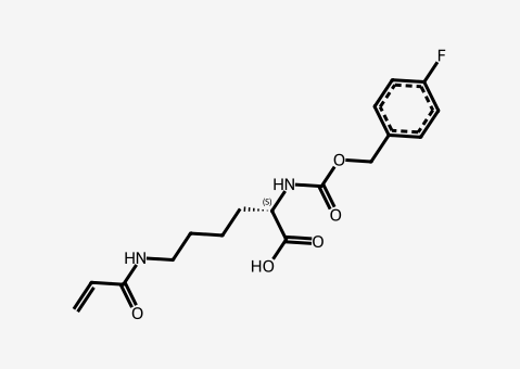 C=CC(=O)NCCCC[C@H](NC(=O)OCc1ccc(F)cc1)C(=O)O